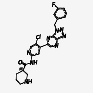 O=C(Nc1cc(-c2cnc3nnn(Cc4cccc(F)c4)c3n2)c(Cl)cn1)[C@@H]1CCCNC1